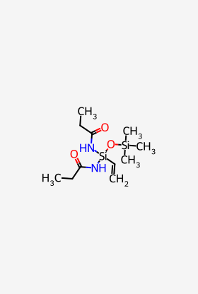 C=C[Si](NC(=O)CC)(NC(=O)CC)O[Si](C)(C)C